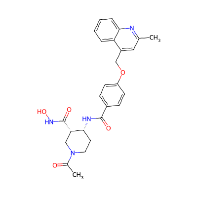 CC(=O)N1CC[C@@H](NC(=O)c2ccc(OCc3cc(C)nc4ccccc34)cc2)[C@@H](C(=O)NO)C1